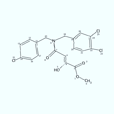 COC(=O)C(O)=CC(=O)N(Cc1ccc(Cl)cc1)Cc1ccc(Cl)c(Cl)c1